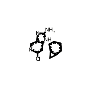 Nc1nc2cnc(Cl)cc2[nH]1.c1ccc2c(c1)C2